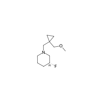 COCC1(CN2CCC[C@@H](F)C2)CC1